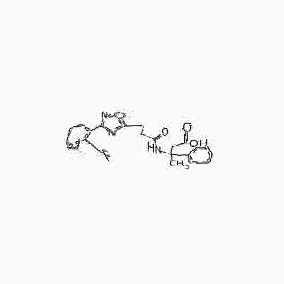 CC(CC(=O)O)(NC(=O)CCc1nc(-c2ccccc2F)no1)c1ccccc1